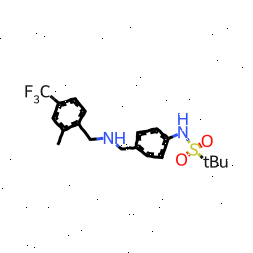 Cc1cc(C(F)(F)F)ccc1CNCc1ccc(NS(=O)(=O)C(C)(C)C)cc1